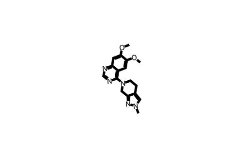 COc1cc2ncnc(N3CCc4cn(C)nc4C3)c2cc1OC